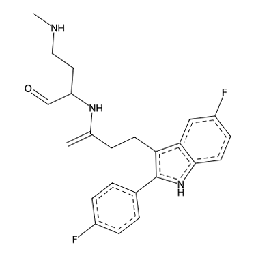 C=C(CCc1c(-c2ccc(F)cc2)[nH]c2ccc(F)cc12)NC(C=O)CCNC